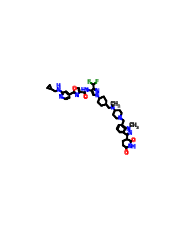 CN(CC1CCC(n2cc(NC(=O)c3coc(-c4ccnc(NCC5CC5)c4)n3)c(C(F)F)n2)CC1)C1CCN(Cc2cccc3c(C4CCC(=O)NC4=O)nn(C)c23)CC1